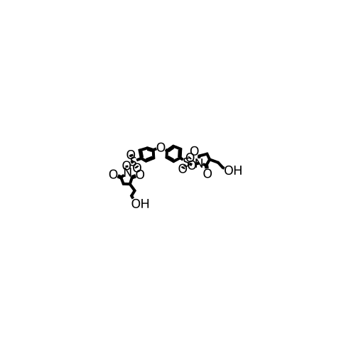 O=C1CC(CCO)C(=O)N1OS(=O)(=O)c1ccc(Oc2ccc(S(=O)(=O)ON3C(=O)CC(CCO)C3=O)cc2)cc1